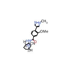 COc1cc(C(=O)N[C@@H]2C[C@@H]3CC[C@H]2N3C#N)ccc1-c1cnn(C)c1